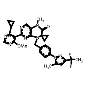 COc1ncnc(C2CC2)c1-c1ncc2c(n1)N(Cc1ccc(-n3nc(C(C)(F)F)cc3C)cc1)C1(CC1)C(=O)N2C